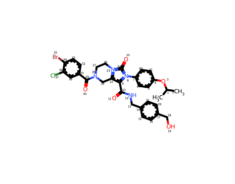 CC(C)Oc1ccc(-n2c(C(=O)NCc3ccc(CO)cc3)c3n(c2=O)CCN(C(=O)c2ccc(Br)c(Cl)c2)C3)cc1